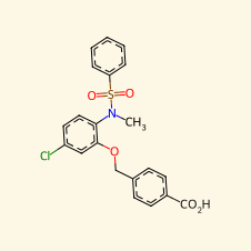 CN(c1ccc(Cl)cc1OCc1ccc(C(=O)O)cc1)S(=O)(=O)c1ccccc1